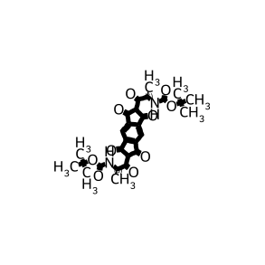 C[C@H](NC(=O)OC(C)(C)C)C(=O)C1C(=O)c2cc3c(cc2C1=O)C(=O)C(C(=O)[C@H](C)NC(=O)OC(C)(C)C)C3=O